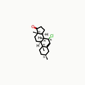 C[C@H]1CC[C@@]2(C)C(=C[C@H](Cl)[C@@H]3[C@@H]2CC[C@]2(C)C(=O)CC[C@@H]32)C1